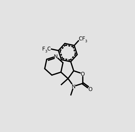 CN1C(=O)OC(c2cc(C(F)(F)F)cc(C(F)(F)F)c2)C1(C)C1CCC=NC1